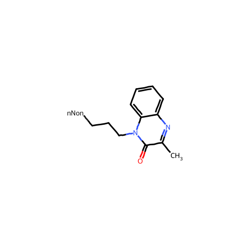 CCCCCCCCCCCCn1c(=O)c(C)nc2ccccc21